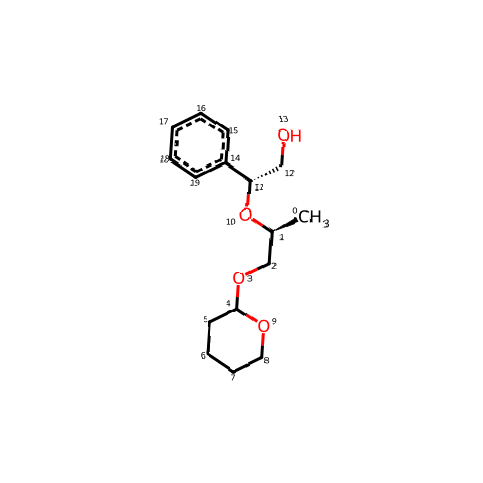 C[C@@H](COC1CCCCO1)O[C@@H](CO)c1ccccc1